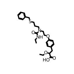 CCNC(=O)N(CCCSCc1ccccc1)CCOc1ccc(CC(OCC)C(=O)O)cc1